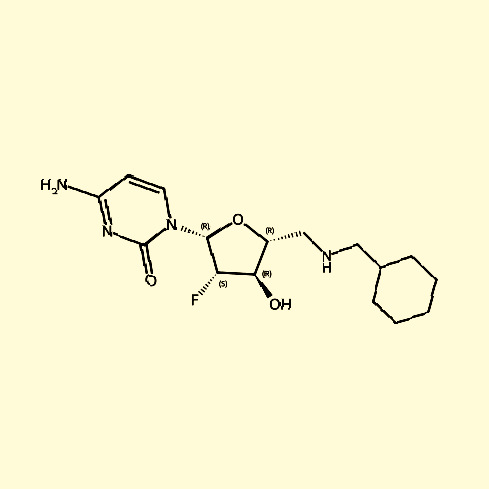 Nc1ccn([C@@H]2O[C@H](CNCC3CCCCC3)[C@@H](O)[C@@H]2F)c(=O)n1